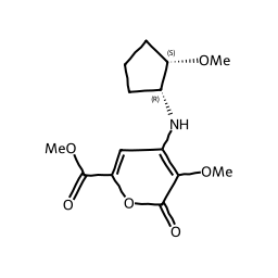 COC(=O)c1cc(N[C@@H]2CCC[C@@H]2OC)c(OC)c(=O)o1